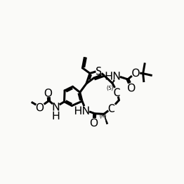 C=Cc1sc2cc1-c1ccc(NC(=O)OC)cc1NC(=O)[C@H](C)CCC[C@@H]2NC(=O)OC(C)(C)C